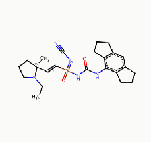 CCN1CCC[C@@]1(C)/C=C/S(=O)(=NC#N)NC(=O)Nc1c2c(cc3c1CCC3)CCC2